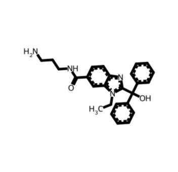 CCn1c(C(O)(c2ccccc2)c2ccccc2)nc2ccc(C(=O)NCCCN)cc21